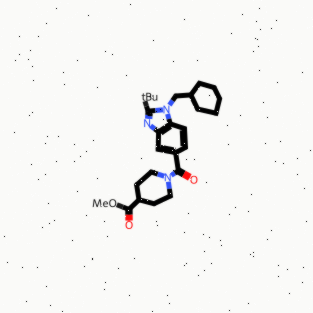 COC(=O)C1CCN(C(=O)c2ccc3c(c2)nc(C(C)(C)C)n3CC2CCCCC2)CC1